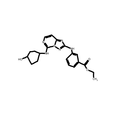 CCOC(=O)c1cccc(Nc2nc3ccnc(NC4CCC(O)CC4)n3n2)c1